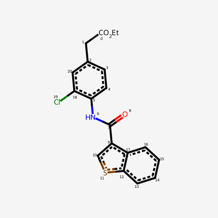 CCOC(=O)Cc1ccc(NC(=O)c2csc3ccccc23)c(Cl)c1